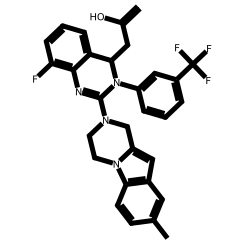 C=C(O)CC1c2cccc(F)c2N=C(N2CCn3c(cc4cc(C)ccc43)C2)N1c1cccc(C(F)(F)F)c1